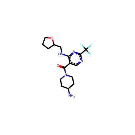 NC1CCN(C(=O)c2cnc(C(F)(F)F)nc2NCC2CCCO2)CC1